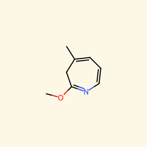 COC1=NC=CC=C(C)C1